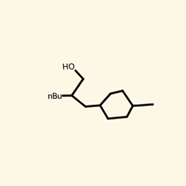 CCCCC(CO)CC1CCC(C)CC1